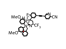 COc1ccc([N+](Cc2ccccc2)(C2=N[C@H](C(F)(F)F)C[C@@](C)(c3cc(C#Cc4ccc(C#N)nc4)ccc3F)O2)c2ccc(OC)cc2)cc1